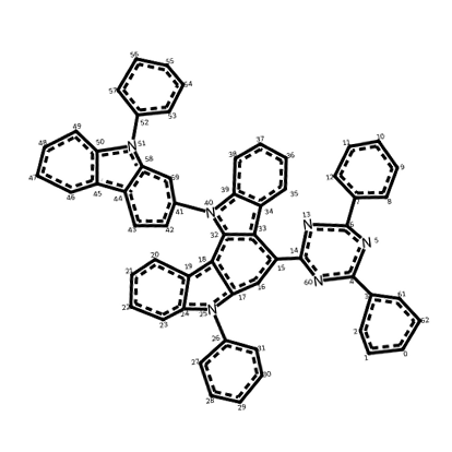 c1ccc(-c2nc(-c3ccccc3)nc(-c3cc4c(c5ccccc5n4-c4ccccc4)c4c3c3ccccc3n4-c3ccc4c5ccccc5n(-c5ccccc5)c4c3)n2)cc1